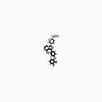 Nc1nccn2c([C@H]3CC[C@@H](CO)OC3)nc(-c3ccc(Oc4cccc(F)c4F)cc3)c12